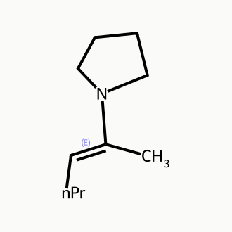 CCC/C=C(\C)N1CCCC1